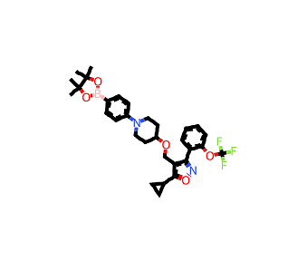 CC1(C)OB(c2ccc(N3CCC(OCc4c(-c5ccccc5OC(F)(F)F)noc4C4CC4)CC3)cc2)OC1(C)C